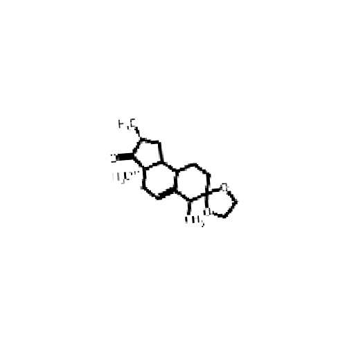 CC1C2=CC[C@@]3(C)C(=O)[C@@H](C)CC3C2CCC12OCCO2